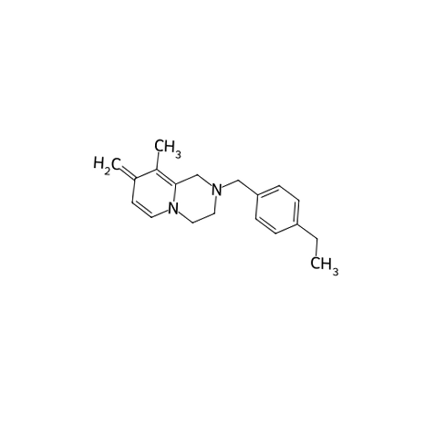 C=C1C=CN2CCN(Cc3ccc(CC)cc3)CC2=C1C